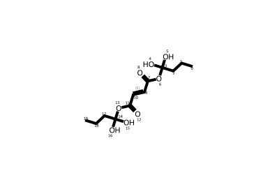 CCCC(O)(O)OC(=O)/C=C/C(=O)OC(O)(O)CCC